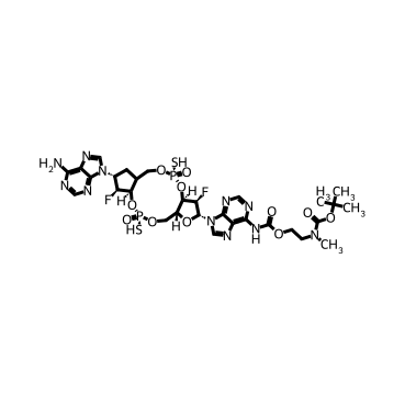 CN(CCOC(=O)Nc1ncnc2c1ncn2[C@@H]1O[C@@H]2CO[P@@](=O)(S)O[C@@H]3C(CO[P@@](=O)(S)O[C@H]2[C@H]1F)C[C@@H](n1cnc2c(N)ncnc21)[C@@H]3F)C(=O)OC(C)(C)C